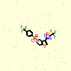 O=S(=O)(c1ccc(C(F)(F)F)cc1)N1CCc2scc(-c3noc(C(F)(F)F)n3)c2C1